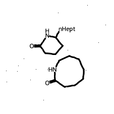 CCCCCCCC1CCCC(=O)N1.O=C1CCCCCCCN1